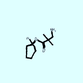 CC(C)C1(OC(=O)C(C)(C)CN)CCCC1